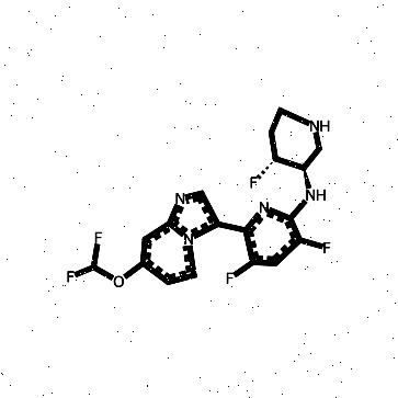 Fc1cc(F)c(-c2cnc3cc(OC(F)F)ccn23)nc1N[C@@H]1CNCC[C@H]1F